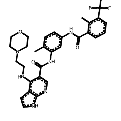 Cc1ccc(NC(=O)c2cccc(C(F)(F)F)c2C)cc1NC(=O)c1cnc2[nH]ccc2c1NCCN1CCOCC1